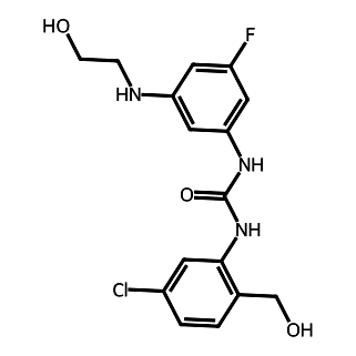 O=C(Nc1cc(F)cc(NCCO)c1)Nc1cc(Cl)ccc1CO